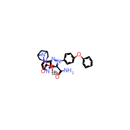 CC(C)(C)OC(=O)N1CC2CC(C1)N2c1ccnc2c(C(N)=O)n(-c3ccc(Oc4ccccc4)cc3)nc12